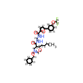 CCCCCC(CN(C=O)OCc1ccccc1)C(=O)NCNC(=O)c1ccc(-c2cccc(OC(F)F)c2)o1